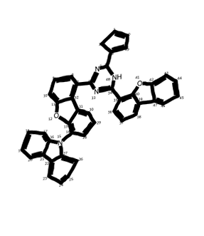 C1=CCC(C2N=C(c3cccc4oc5c(-n6c7ccccc7c7ccccc76)cccc5c34)N=C(c3cccc4c3oc3ccccc34)N2)=C1